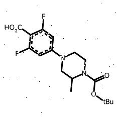 CC1CN(c2cc(F)c(C(=O)O)c(F)c2)CCN1C(=O)OC(C)(C)C